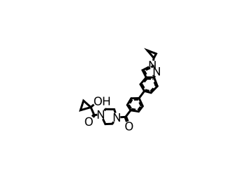 O=C(c1ccc(-c2ccc3nn(C4CC4)cc3c2)cc1)N1CCN(C(=O)C2(O)CC2)CC1